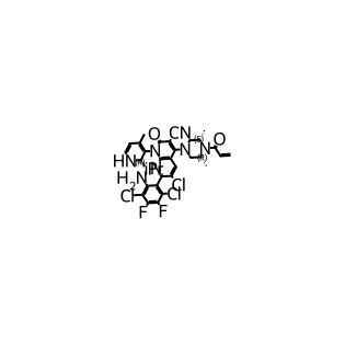 C=CC(=O)N1[C@H](C)CN(c2c(C#N)c(=O)n(C3=C(C)C=CN[C@@H]3C(C)C)c3nc(-c4c(N)c(Cl)c(F)c(F)c4Cl)c(Cl)cc23)C[C@@H]1C